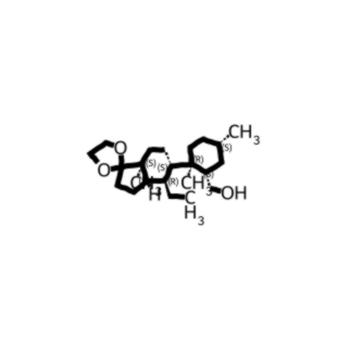 CC[C@@H]1[C@@H]([C@@]2(C)CC[C@H](C)C[C@@H]2CO)CC[C@@]2(C)[C@H]1CCC21OCCO1